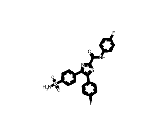 NS(=O)(=O)c1ccc(-c2nc(C(=O)Nc3ccc(F)cc3)sc2-c2ccc(F)cc2)cc1